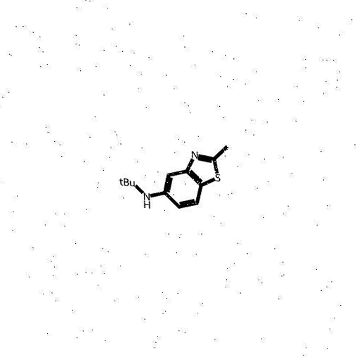 Cc1nc2cc(NC(C)(C)C)ccc2s1